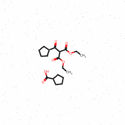 CCOC(=O)C(C(=O)OCC)C(=O)C1CCCC1.O=C(O)C1CCCC1